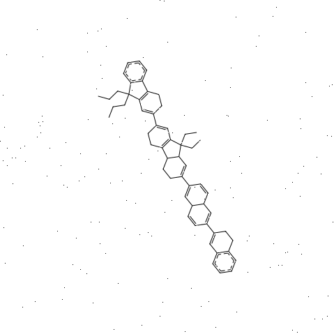 CCCC1(CCC)C2=C(CCC(C3=CC4=C(CC3)C3CCC(C5=CC6C=CC(C7=Cc8ccccc8CC7)=CC6C=C5)=CC3C4(CC)CC)=C2)c2ccccc21